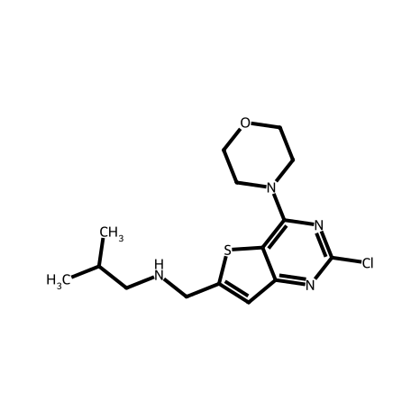 CC(C)CNCc1cc2nc(Cl)nc(N3CCOCC3)c2s1